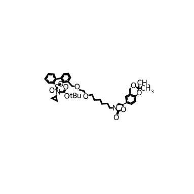 CC(C)(C)OC(=O)N(C1CC1)S(=O)(=O)c1ccccc1-c1cccc(COCCOCCCCCCN2C[C@@H](c3ccc4c(c3)COC(C)(C)O4)OC2=O)c1